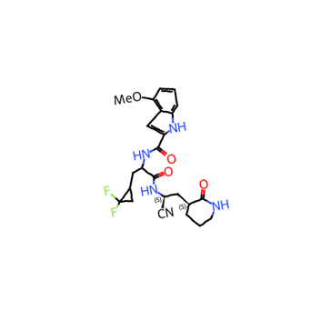 COc1cccc2[nH]c(C(=O)NC(CC3CC3(F)F)C(=O)N[C@H](C#N)C[C@@H]3CCCNC3=O)cc12